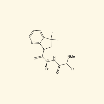 CCC(NC)C(=O)N[C@H](C(=O)N1CC(C)(C)c2cccnc21)C(C)C